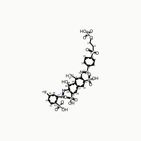 Nc1c(/N=N/c2ccc(S(=O)(=O)CCOS(=O)(=O)O)cc2)c(S(=O)(=O)O)cc2cc(S(=O)(=O)O)c(/N=N/c3cc(F)ccc3S(=O)(=O)O)c(O)c12